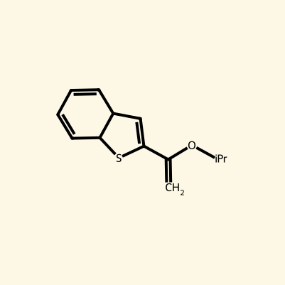 C=C(OC(C)C)C1=CC2C=CC=CC2S1